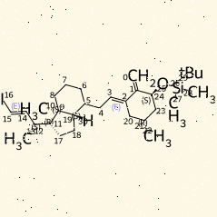 C=C1/C(=C/CC2CCC[C@]3(C)[C@@H]([C@H](C)/C=C/I)CC[C@@H]23)C[C@@H](C)C[C@@H]1O[Si](C)(C)C(C)(C)C